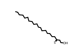 CCCCCCCCCCCCCCCCCCC(=S)CCO